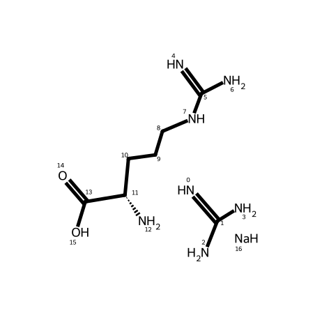 N=C(N)N.N=C(N)NCCC[C@H](N)C(=O)O.[NaH]